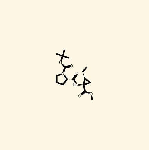 CC[C@@H]1C[C@]1(NC(=O)[C@@H]1CCCN1C(=O)OC(C)(C)C)C(=O)OC